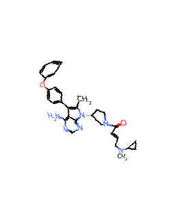 Cc1c(-c2ccc(Oc3ccccc3)cc2)c2c(N)ncnc2n1[C@@H]1CCN(C(=O)C=CCN(C)C2CC2)C1